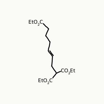 CCOC(=O)CCCC=CCC(C(=O)OCC)C(=O)OCC